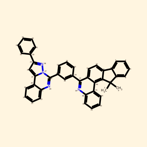 CC1(C)c2ccccc2-c2ccc3c(-c4cccc(-c5nc6ccccc6c6cc(-c7ccccc7)nn56)c4)nc4ccccc4c3c21